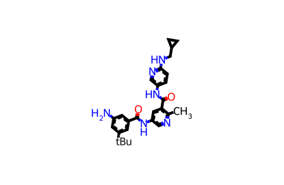 Cc1ncc(NC(=O)c2cc(N)cc(C(C)(C)C)c2)cc1C(=O)Nc1ccc(NCC2CC2)nc1